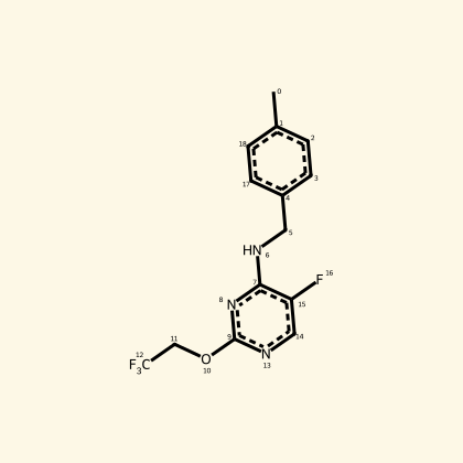 Cc1ccc(CNc2nc(OCC(F)(F)F)ncc2F)cc1